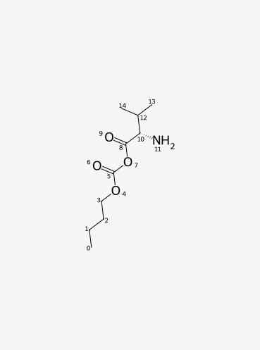 CCCCOC(=O)OC(=O)[C@@H](N)C(C)C